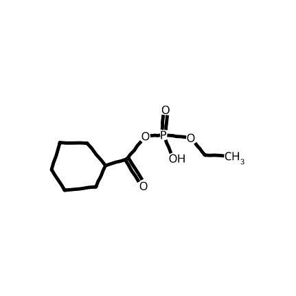 CCOP(=O)(O)OC(=O)C1CCCCC1